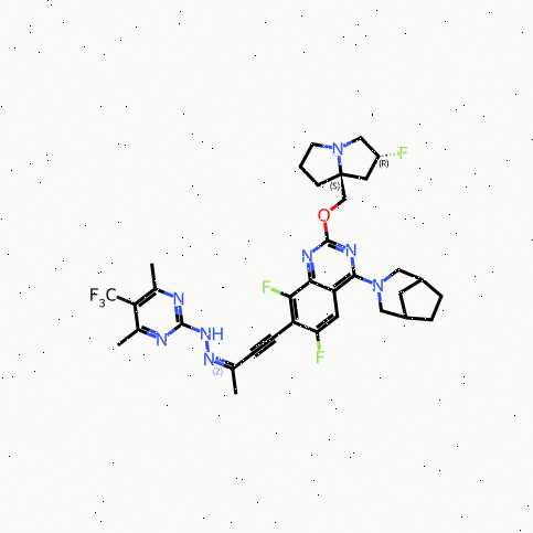 C/C(C#Cc1c(F)cc2c(N3CC4CCC(C4)C3)nc(OC[C@@]34CCCN3C[C@H](F)C4)nc2c1F)=N/Nc1nc(C)c(C(F)(F)F)c(C)n1